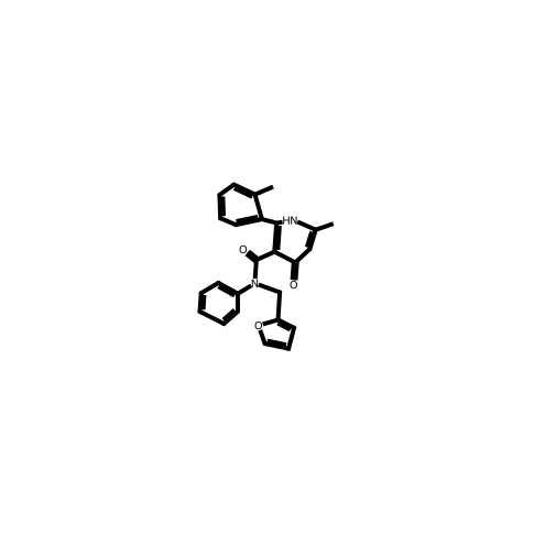 Cc1cc(=O)c(C(=O)N(Cc2ccco2)c2ccccc2)c(-c2ccccc2C)[nH]1